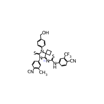 [C-]#[N+]c1ccc(N2C(=S)N(c3ccc(CO)cc3)C3(CCC3)/C2=N\C(=S)Nc2ccc(C#N)c(C(F)(F)F)c2)cc1C